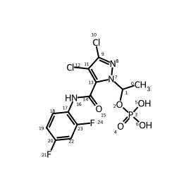 CC(OP(=O)(O)O)n1nc(Cl)c(Cl)c1C(=O)Nc1ccc(F)cc1F